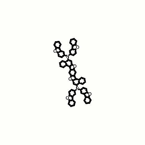 c1ccc2c(c1)oc1ccc(N(c3ccc4oc5ccccc5c4c3)c3cc4oc5cc6c(cc5c4c4ccccc34)oc3cc(N(c4ccc5oc7ccccc7c5c4)c4ccc5oc7ccccc7c5c4)c4ccccc4c36)cc12